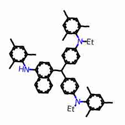 CCN(c1ccc(C(c2ccc(N(CC)c3c(C)cc(C)cc3C)cc2)c2ccc(Nc3c(C)cc(C)cc3C)c3ccccc23)cc1)c1c(C)cc(C)cc1C